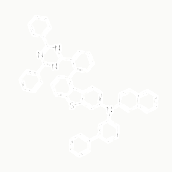 c1ccc(-c2cccc(N(c3ccc4ccccc4c3)c3ccc4c(c3)sc3cccc(-c5ccccc5-c5nc(-c6ccccc6)nc(-c6ccccc6)n5)c34)c2)cc1